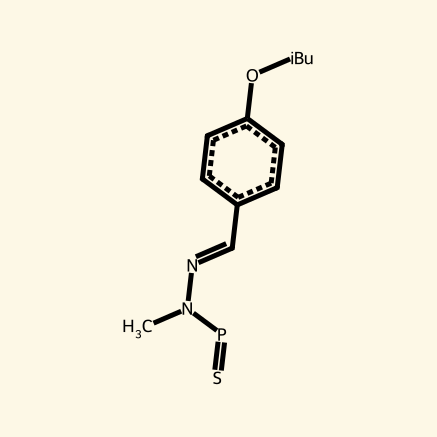 CCC(C)Oc1ccc(C=NN(C)P=S)cc1